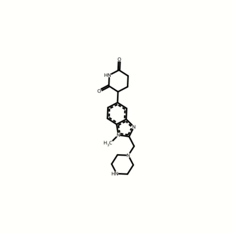 Cn1c(CN2CCNCC2)nc2cc(C3CCC(=O)NC3=O)ccc21